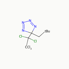 CC(C)(C)CC1(C(Cl)(Cl)C(Cl)(Cl)Cl)N=NN=N1